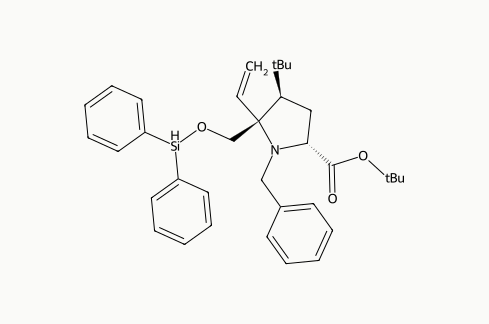 C=C[C@]1(CO[SiH](c2ccccc2)c2ccccc2)[C@@H](C(C)(C)C)C[C@H](C(=O)OC(C)(C)C)N1Cc1ccccc1